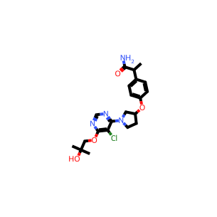 CC(C(N)=O)c1ccc(OC2CCN(c3ncnc(OCC(C)(C)O)c3Cl)C2)cc1